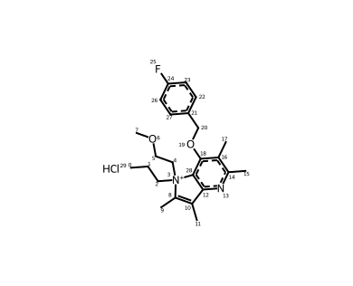 CCC[N+]1(CCOC)C(C)=C(C)c2nc(C)c(C)c(OCc3ccc(F)cc3)c21.Cl